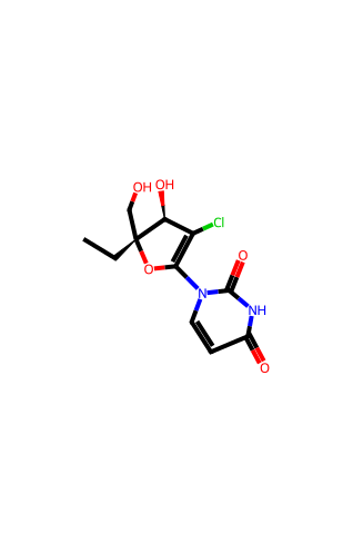 CC[C@]1(CO)OC(n2ccc(=O)[nH]c2=O)=C(Cl)[C@@H]1O